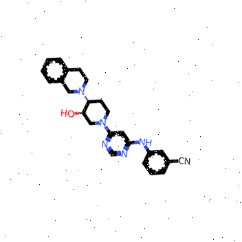 N#Cc1cccc(Nc2cc(N3CC[C@@H](N4CCc5ccccc5C4)[C@H](O)C3)ncn2)c1